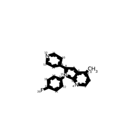 Cc1ccnc2c1cc(-c1ccncc1)n2-c1ccc(F)cc1